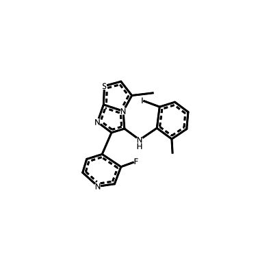 Cc1cccc(I)c1Nc1c(-c2ccncc2F)nc2scc(C)n12